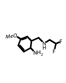 COC1=CC(CNCC(F)F)C(N)C=C1